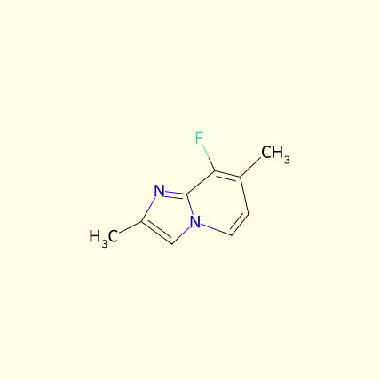 Cc1cn2ccc(C)c(F)c2n1